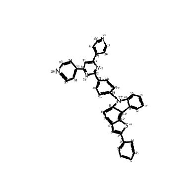 c1ccc(-c2cc3ccc4c(c5ccccc5n4-c4ccc(-c5nc(-c6ccncc6)cc(-c6ccncc6)n5)cc4)c3s2)cc1